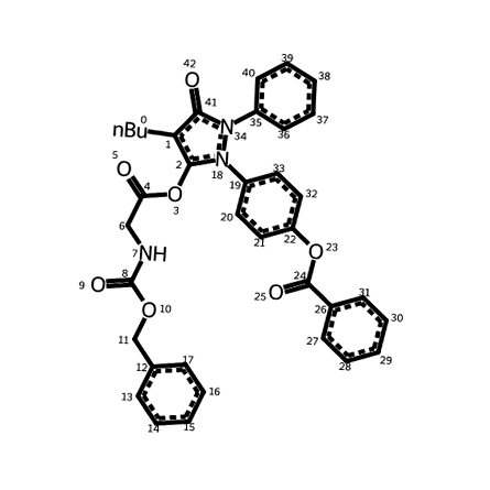 CCCCc1c(OC(=O)CNC(=O)OCc2ccccc2)n(-c2ccc(OC(=O)c3ccccc3)cc2)n(-c2ccccc2)c1=O